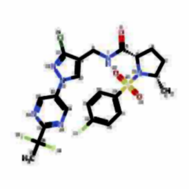 C[C@H]1CC[C@@H](C(=O)NCc2cn(-c3cnc(C(C)(F)F)nc3)nc2Cl)N1S(=O)(=O)c1ccc(F)cc1